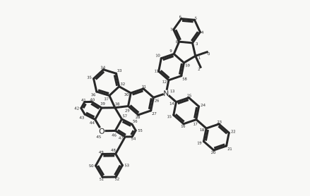 CC1(C)c2ccccc2-c2ccc(N(c3ccc(-c4ccccc4)cc3)c3ccc4c(c3)-c3ccccc3C43c4ccccc4Oc4c(-c5ccccc5)cccc43)cc21